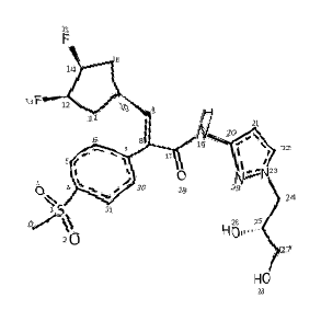 CS(=O)(=O)c1ccc(/C(=C\[C@H]2C[C@@H](F)[C@@H](F)C2)C(=O)Nc2ccn(C[C@@H](O)CO)n2)cc1